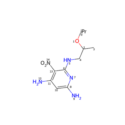 CC(C)OC(C)CNc1nc(N)cc(N)c1[N+](=O)[O-]